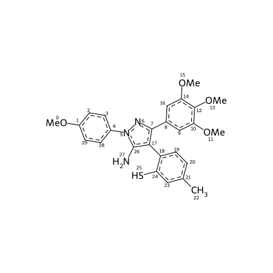 COc1ccc(-n2nc(-c3cc(OC)c(OC)c(OC)c3)c(-c3ccc(C)cc3S)c2N)cc1